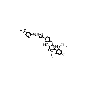 CCc1cc(Cl)cc(C)c1C(=O)NC(Cc1ccc(-c2cc(CNc3cc(C)ccn3)ns2)cc1)C(=O)O